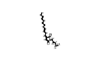 CCCCCCCCC=CCCC1CC(=O)N(CCCN(C)C)C1=O